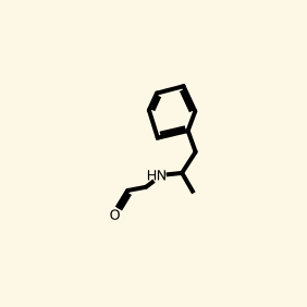 CC(Cc1ccccc1)NCC=O